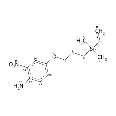 C=C[Si](C)(C)CCCOc1ccc(N)c([N+](=O)[O-])c1